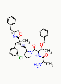 CC(N)C(=O)NC(C(=O)N1CCCC1/C=C/[C@@](C)(Cc1cccc(Cl)c1)C1=N[C@@H](Cc2ccccc2)CO1)C(C)OCc1ccccc1